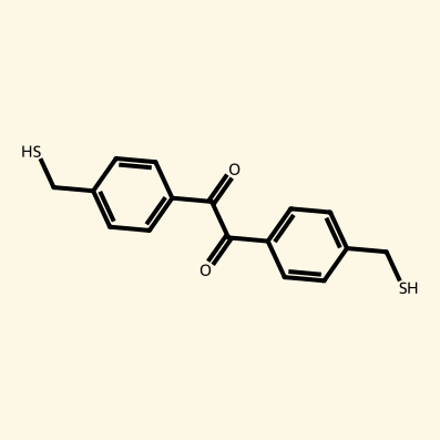 O=C(C(=O)c1ccc(CS)cc1)c1ccc(CS)cc1